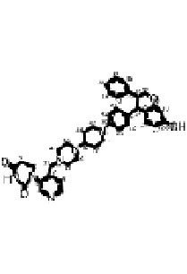 O=C1CCN(c2cnccc2CN2CCN(C3CCN(c4ccc(C5c6ccc(O)cc6OCC5c5ccccc5)cc4)CC3)CC2)C(=O)N1